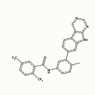 Cc1ccc(NC(=O)c2cc(C(F)(F)F)ccc2C(F)(F)F)cc1-c1ccc2c(c1)[nH]c1ncncc12